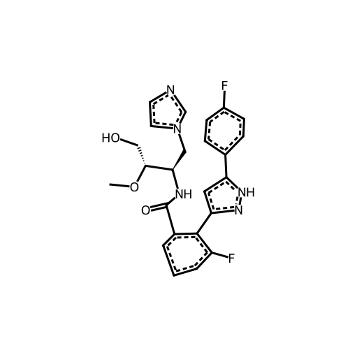 CO[C@H](CO)[C@@H](Cn1ccnc1)NC(=O)c1cccc(F)c1-c1cc(-c2ccc(F)cc2)[nH]n1